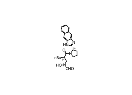 CCCC[C@H](CN(O)C=O)C(=O)N1CCC[C@H]1c1nc2cc3ccccc3cc2[nH]1